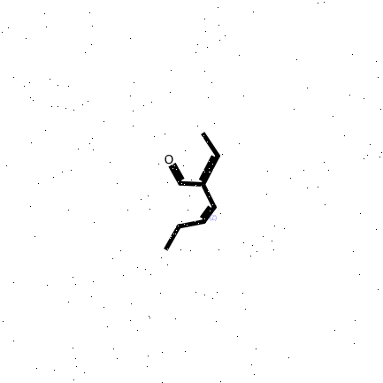 CC=C(C=O)/C=C\CC